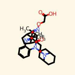 C/C(=N\OCC(=O)O)c1nc2ccccc2n(C2CC3CCCC(C2)N3CCC2CCC3CCC2C3(C)C)c1=O